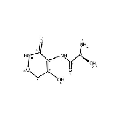 C[C@H](N)C(=O)NC1=C(O)CONC1=O